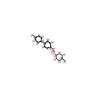 Cc1ccc(-c2ccc(COC3CCC(C)CC3)cc2)cc1